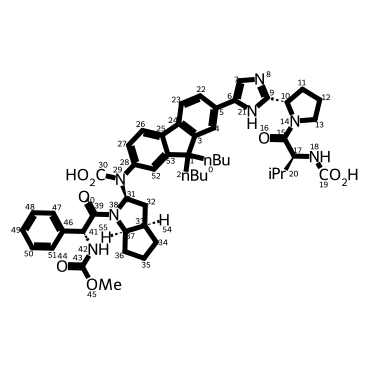 CCCCC1(CCCC)c2cc(-c3cnc([C@@H]4CCCN4C(=O)[C@@H](NC(=O)O)C(C)C)[nH]3)ccc2-c2ccc(N(C(=O)O)[C@H]3C[C@H]4CCC[C@H]4N3C(=O)[C@H](NC(=O)OC)c3ccccc3)cc21